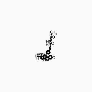 CCOC(=O)CCNC(=O)NC/C=C/c1ccc([C@H]2C[C@@]3(C)[C@@H](CC[C@@]3(O)C(F)(F)C(F)(F)F)[C@@H]3CCC4=CC(=O)CCC4=C32)cc1